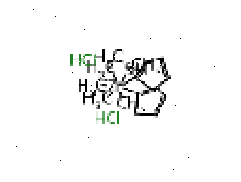 C[SiH](C)[Zr]([CH3])([CH3])([CH3])([CH3])([C]1=CC=CC1)[C]1=CC=CC1.Cl.Cl